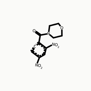 O=C(c1ccc([N+](=O)[O-])cc1[N+](=O)[O-])N1CCOCC1